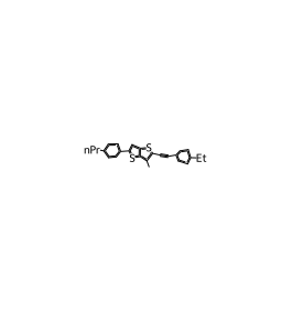 CCCc1ccc(-c2cc3sc(C#Cc4ccc(CC)cc4)c(C)c3s2)cc1